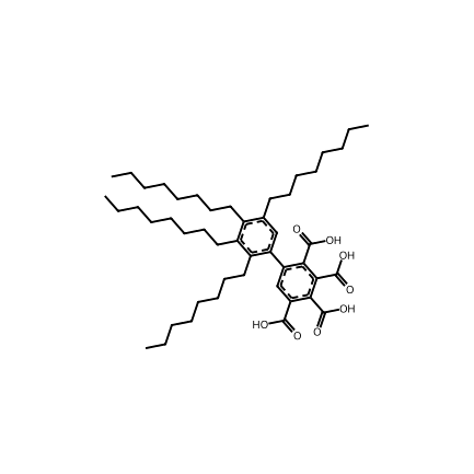 CCCCCCCCc1cc(-c2cc(C(=O)O)c(C(=O)O)c(C(=O)O)c2C(=O)O)c(CCCCCCCC)c(CCCCCCCC)c1CCCCCCCC